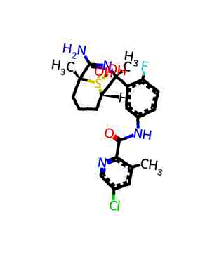 Cc1cc(Cl)cnc1C(=O)Nc1ccc(F)c([C@@]2(C)N=C(N)[C@@]3(C)CCC[C@@H]2S3(O)O)c1